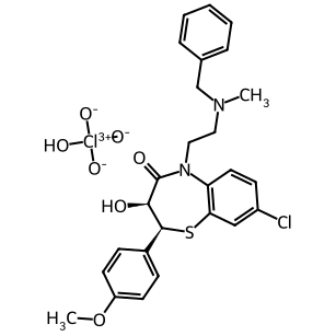 COc1ccc([C@@H]2Sc3cc(Cl)ccc3N(CCN(C)Cc3ccccc3)C(=O)[C@@H]2O)cc1.[O-][Cl+3]([O-])([O-])O